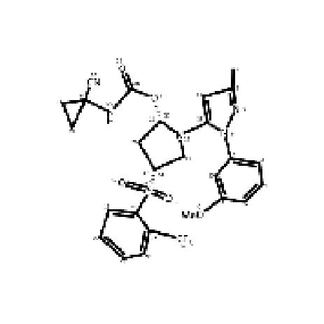 COc1cccc(-n2nc(C)cc2N2C[C@H](S(=O)(=O)c3ccccc3C(F)(F)F)C[C@@H]2OC(=O)NC2(C#N)CC2)c1